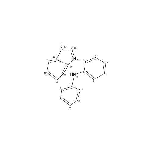 c1ccc(Nc2ccccc2)cc1.c1ccc2[nH]nnc2c1